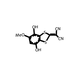 COc1cc(O)c2c(c1O)SC(=C(C#N)C#N)S2